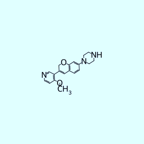 COc1ccncc1C1=Cc2ccc(N3CCNCC3)cc2OC1